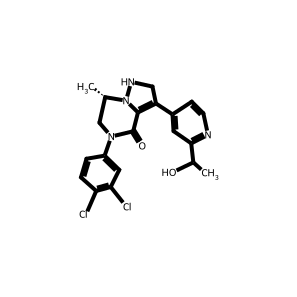 CC(O)c1cc(C2=C3C(=O)N(c4ccc(Cl)c(Cl)c4)C[C@H](C)N3NC2)ccn1